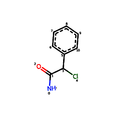 [NH]C(=O)C(Cl)c1ccccc1